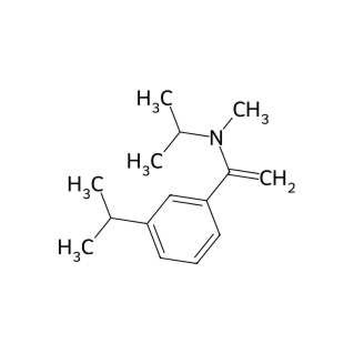 C=C(c1cccc(C(C)C)c1)N(C)C(C)C